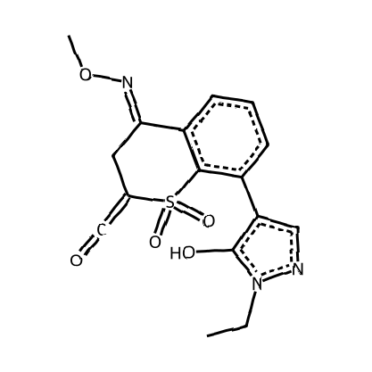 CCn1ncc(-c2cccc3c2S(=O)(=O)C(=C=O)CC3=NOC)c1O